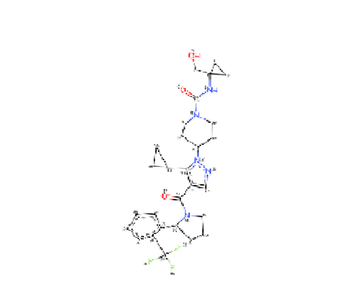 O=C(NC1(CO)CC1)N1CCC(n2ncc(C(=O)N3CCCC3c3ccccc3C(F)(F)F)c2C2CC2)CC1